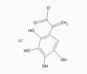 C=C(C(=O)[O-])c1cc(O)c(O)c(O)c1O.[Li+]